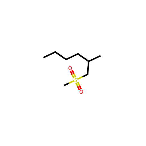 [CH2]C(CCCC)CS(C)(=O)=O